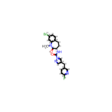 CN1C(=O)[C@@H](NC(=O)n2cc(Cc3ccc(F)nc3)cn2)CCc2ccc(Br)cc21